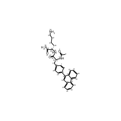 CC(=O)N[C@@H](Cc1ccc(-c2cc3ccccc3c3ccccc23)cc1)C(=O)N[C@@H](CCCCN)C(N)=O